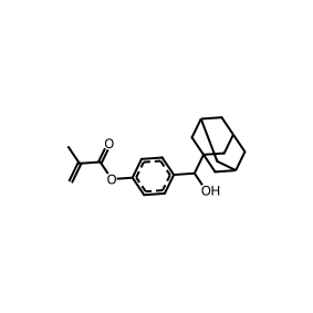 C=C(C)C(=O)Oc1ccc(C(O)C23CC4CC(CC(C4)C2)C3)cc1